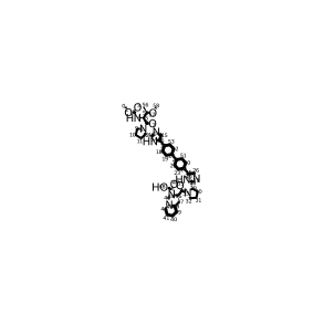 COC(=O)N[C@H](C(=O)N1CCC[C@H]1c1ncc(-c2ccc(-c3ccc(-c4cnc([C@@H]5CCCN5C(=O)[C@H](Cc5ccccn5)N(C)C(=O)O)[nH]4)cc3)cc2)[nH]1)[C@@H](C)OC